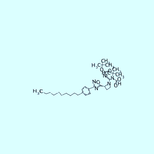 CCCCCCCCCCc1ccc(-c2noc([C@@H]3CCN3/C(=N/C(=O)OC(C)(C)C)N(C(=O)O)C(C)(C)C)n2)cc1